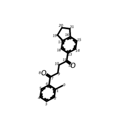 Cc1ccccc1C(=O)CCC(=O)c1ccc2c(c1)CCC2